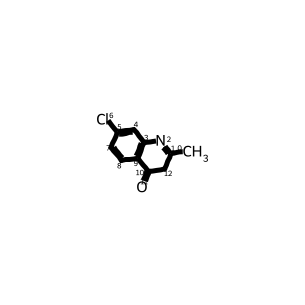 CC1=Nc2cc(Cl)ccc2C(=O)C1